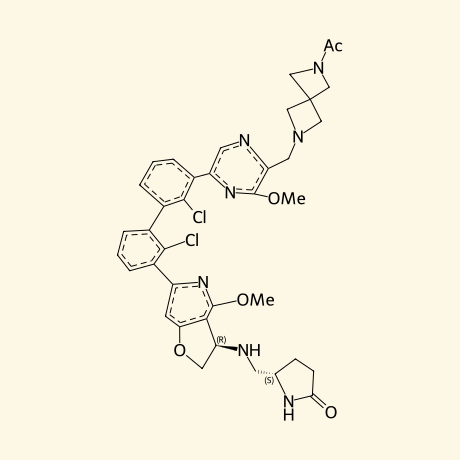 COc1nc(-c2cccc(-c3cccc(-c4cc5c(c(OC)n4)[C@@H](NC[C@@H]4CCC(=O)N4)CO5)c3Cl)c2Cl)cnc1CN1CC2(C1)CN(C(C)=O)C2